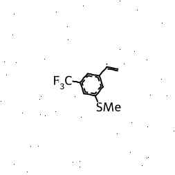 C=[C]c1cc(SC)cc(C(F)(F)F)c1